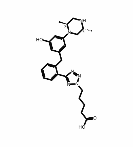 C[C@@H]1CN(c2cc(O)cc(Cc3ccccc3-c3nnn(CCCCC(=O)O)n3)c2)[C@@H](C)CN1